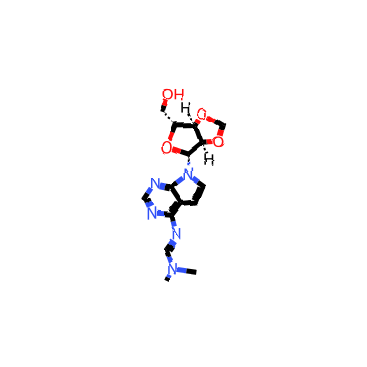 CN(C)/C=N/c1ncnc2c1ccn2[C@@H]1O[C@H](CO)[C@H]2OCO[C@H]21